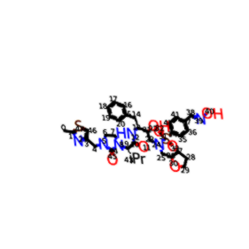 Cc1nc(CN2CCN([C@H](C(=O)N[C@@H](Cc3ccccc3)[C@@H](O)CN(CC3CCCO3)S(=O)(=O)c3ccc(C=NO)cc3)C(C)C)C2=O)cs1